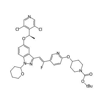 C[C@@H](Oc1ccc2c(c1)c(/C=C(\F)c1ccc(OC3CCN(C(=O)OC(C)(C)C)CC3)nc1)nn2C1CCCCO1)c1c(Cl)cncc1Cl